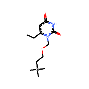 CCc1cc(=O)[nH]c(=O)n1COCC[Si](C)(C)C